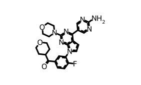 Nc1ncc(-c2nc(N3CCOCC3)nc3c2ccn3-c2cc(C(=O)C3CCOCC3)ccc2F)cn1